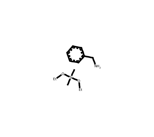 CCO[Si](C)(C)OCC.NCc1ccccc1